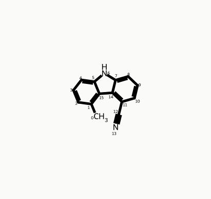 Cc1cccc2[nH]c3cccc(C#N)c3c12